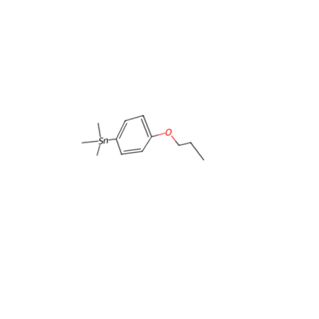 CCCOc1cc[c]([Sn]([CH3])([CH3])[CH3])cc1